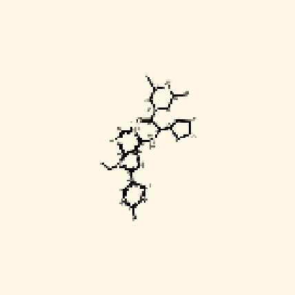 CCn1c(-c2cnc(C)nc2)nc2c(NC(C(=O)N3CC(C)OC(C)C3)C3CCCC3)ncnc21